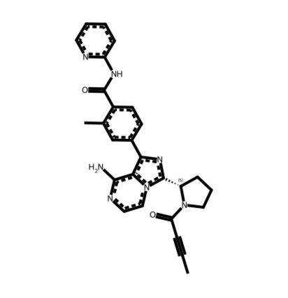 CC#CC(=O)N1CCC[C@H]1c1nc(-c2ccc(C(=O)Nc3ccccn3)c(C)c2)c2c(N)nccn12